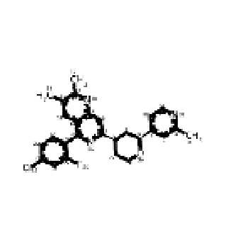 Cc1cc([C@@H]2C[C@H](c3cc4nc(C)c(C)cc4c(-c4ccc(Cl)cc4F)n3)CCO2)ccn1